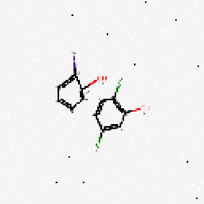 Oc1cc(Cl)ccc1Cl.Oc1ccccc1I